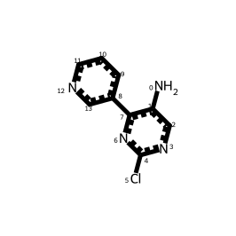 Nc1cnc(Cl)nc1-c1cccnc1